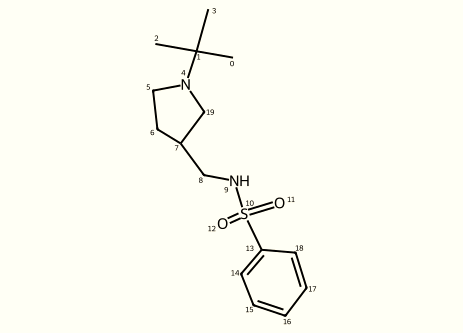 CC(C)(C)N1CCC(CNS(=O)(=O)c2ccccc2)C1